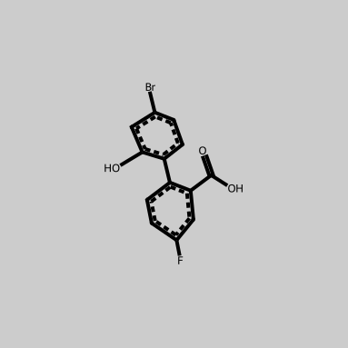 O=C(O)c1cc(F)ccc1-c1ccc(Br)cc1O